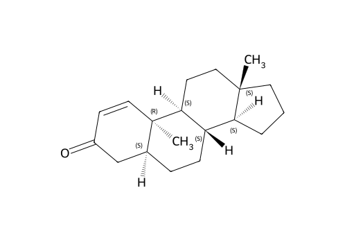 C[C@@]12CCC[C@H]1[C@@H]1CC[C@H]3CC(=O)C=C[C@@]3(C)[C@H]1CC2